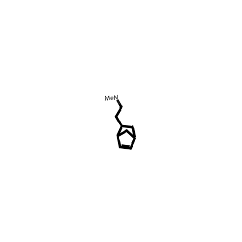 CNCCC1CC2C=CC1C2